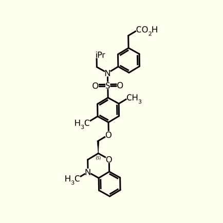 Cc1cc(S(=O)(=O)N(CC(C)C)c2cccc(CC(=O)O)c2)c(C)cc1OC[C@@H]1CN(C)c2ccccc2O1